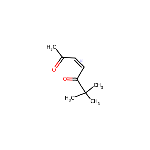 CC(=O)/C=C\C(=O)C(C)(C)C